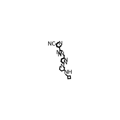 N#Cc1cncc(-c2cn(Cc3ccc(N4CCC[C@@H](NCC5CCC5)C4)nn3)nn2)c1